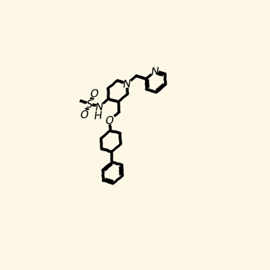 CS(=O)(=O)NC1CCN(Cc2ccccn2)CC1COC1CCC(c2ccccc2)CC1